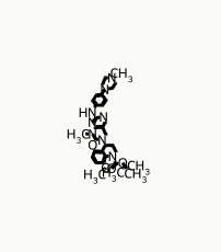 COc1cccc2c1N(C(=O)OC(C)(C)C)CCC2N1Cc2cnc(Nc3ccc(N4CCN(C)CC4)cc3)nc2N(C)C1=O